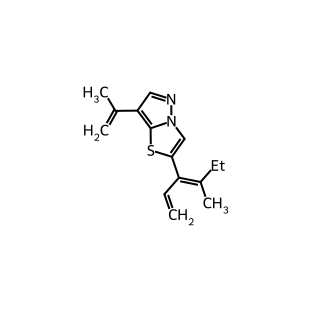 C=C/C(=C(\C)CC)c1cn2ncc(C(=C)C)c2s1